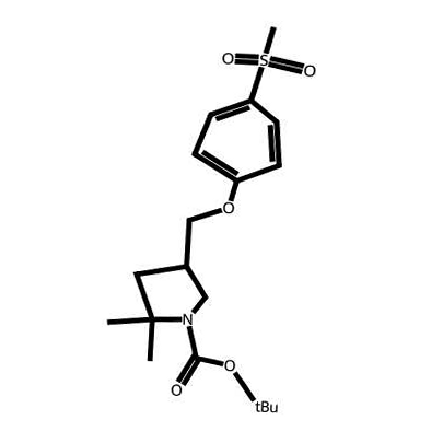 CC(C)(C)OC(=O)N1CC(COc2ccc(S(C)(=O)=O)cc2)CC1(C)C